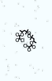 CC(CC(C)(C)OOC(C)(C)CC(C)OC(=O)C(=O)Cl)OC(=O)C(=O)Cl